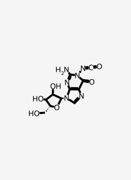 Nc1nc2c(ncn2[C@@H]2O[C@H](CO)C(O)C2O)c(=O)n1N=C=O